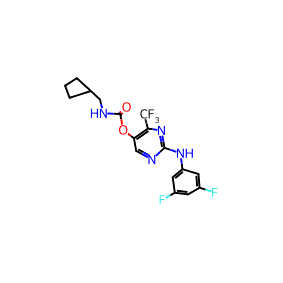 O=C(NCC1CCC1)Oc1cnc(Nc2cc(F)cc(F)c2)nc1C(F)(F)F